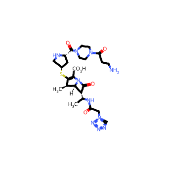 CC(NC(=O)Cn1cnnn1)[C@H]1C(=O)N2C(C(=O)O)=C(S[C@@H]3CN[C@H](C(=O)N4CCN(C(=O)CCN)CC4)C3)[C@H](C)[C@H]12